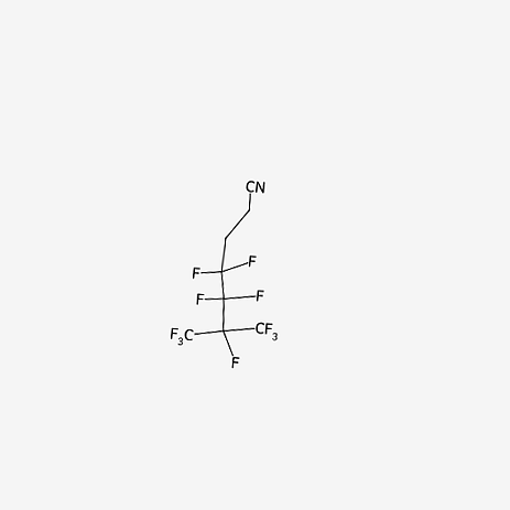 N#CCCC(F)(F)C(F)(F)C(F)(C(F)(F)F)C(F)(F)F